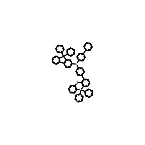 c1ccc(-c2ccc(N(c3ccc(-c4cccc5c4Sc4ccccc4[Si]5(c4ccccc4)c4ccccc4)cc3)c3ccc4c(c3)C(c3ccccc3)(c3ccccc3)c3ccccc3-4)cc2)cc1